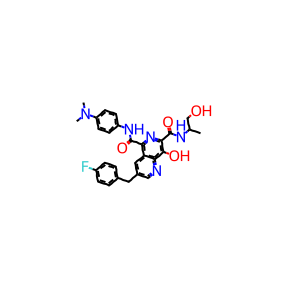 CC(CO)NC(=O)c1nc(C(=O)Nc2ccc(N(C)C)cc2)c2cc(Cc3ccc(F)cc3)cnc2c1O